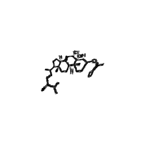 CC(=O)O[C@H]1CC[C@]2(C)[C@H]3CC[C@]4(C)[C@@H]([C@H](C)/C=C/[C@H](C)C(C)C)CC[C@H]4C3=C[C@H](Cl)[C@@]2(O)C1